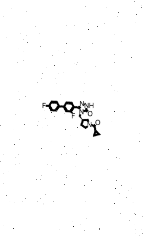 O=C(C1CC1)N1CC[C@@H](Cn2c(-c3ccc(-c4ccc(F)cc4)cc3F)n[nH]c2=O)C1